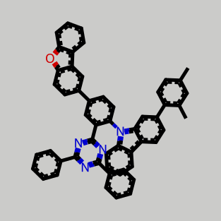 Cc1ccc(-c2ccc3c4ccccc4n(-c4ccc(-c5ccc6oc7ccccc7c6c5)cc4-c4nc(-c5ccccc5)nc(-c5ccccc5)n4)c3c2)c(C)c1